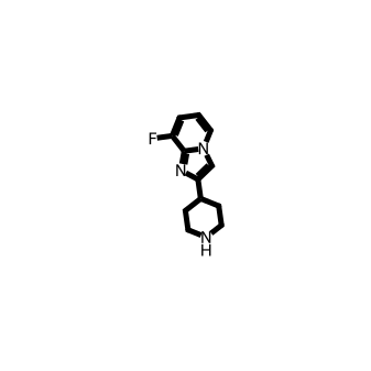 Fc1cccn2cc(C3CCNCC3)nc12